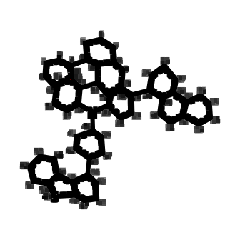 c1ccc(-c2cccc3cccc(-c4ccccc4N(c4ccc(-c5cccc6c5ccc5ccccc56)cc4)c4ccc(-c5cccc6sc7ccccc7c56)cc4)c23)cc1